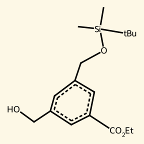 CCOC(=O)c1cc(CO)cc(CO[Si](C)(C)C(C)(C)C)c1